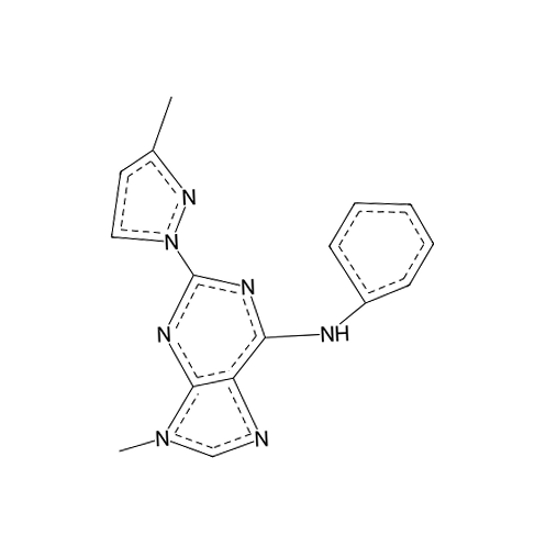 Cc1ccn(-c2nc(Nc3ccccc3)c3ncn(C)c3n2)n1